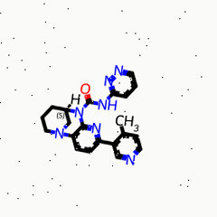 Cc1ccncc1-c1ccc2c(n1)N(C(=O)Nc1cccnn1)[C@H]1CCCN2C1